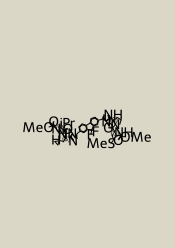 COC(=O)N[C@@H](CCSC)C(=O)N1CCC[C@H]1c1nc(-c2ccc3c(c2)C(F)(F)c2cc(-c4cnc([C@@H]5CC6(CC6)CN5C(=O)[C@@H](NC(=O)OC)C(C)C)[nH]4)ccc2-3)c[nH]1